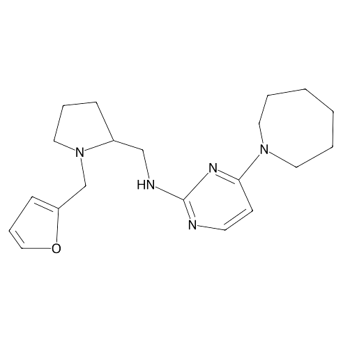 c1coc(CN2CCCC2CNc2nccc(N3CCCCCC3)n2)c1